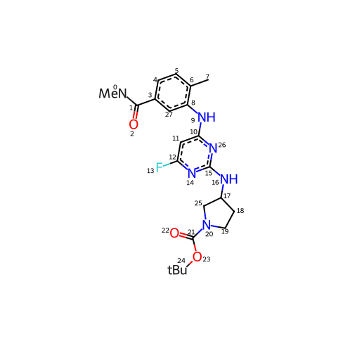 CNC(=O)c1ccc(C)c(Nc2cc(F)nc(NC3CCN(C(=O)OC(C)(C)C)C3)n2)c1